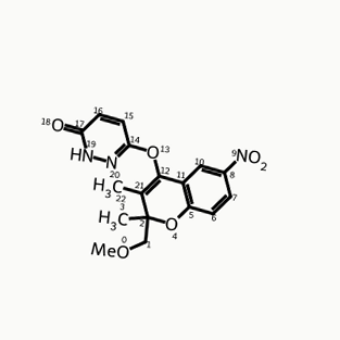 COCC1(C)Oc2ccc([N+](=O)[O-])cc2C(Oc2ccc(=O)[nH]n2)=C1C